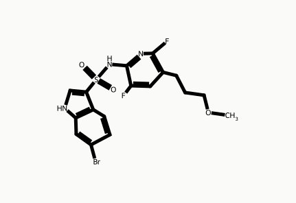 COCCCc1cc(F)c(NS(=O)(=O)c2c[nH]c3cc(Br)ccc23)nc1F